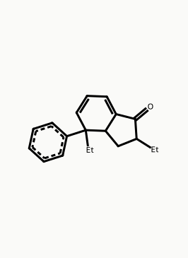 CCC1CC2C(=CC=CC2(CC)c2ccccc2)C1=O